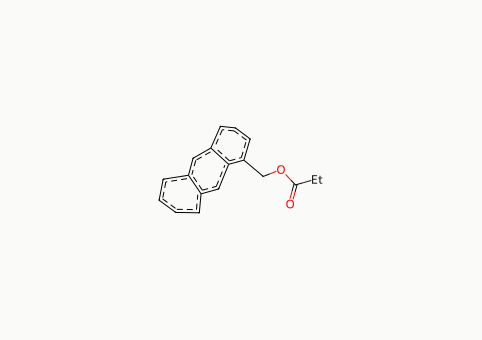 CCC(=O)OCc1cccc2cc3ccccc3cc12